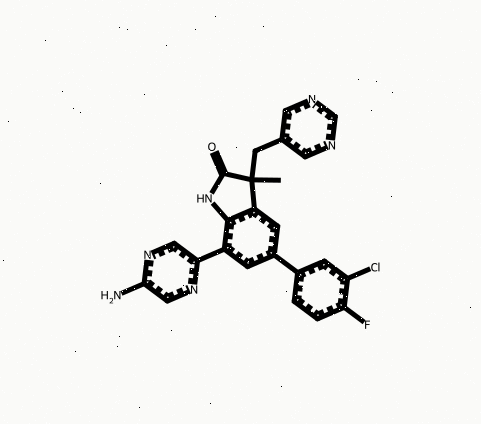 CC1(Cc2cncnc2)C(=O)Nc2c(-c3cnc(N)cn3)cc(-c3ccc(F)c(Cl)c3)cc21